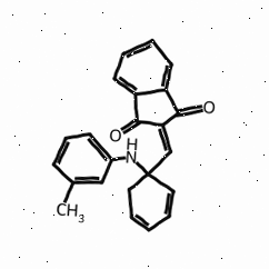 Cc1cccc(NC2(C=C3C(=O)c4ccccc4C3=O)C=CC=CC2)c1